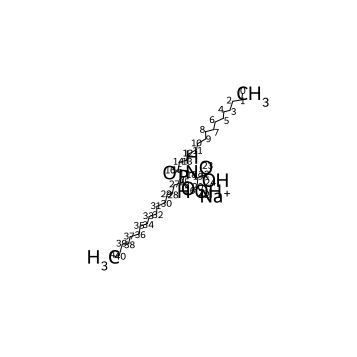 CCCCCCCCCCCCCCCC(=O)[PH-](NC(CO)C(=O)O)C(=O)CCCCCCCCCCCCCCC.[Na+]